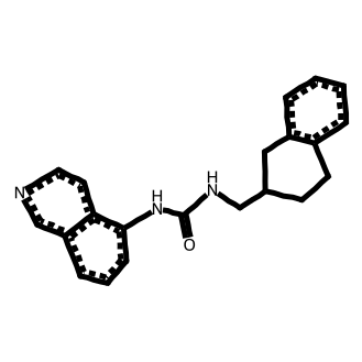 O=C(NCC1CCc2ccccc2C1)Nc1cccc2cnccc12